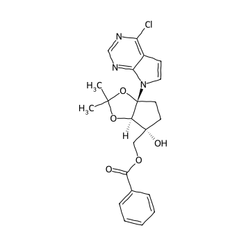 CC1(C)O[C@@H]2[C@](O)(COC(=O)c3ccccc3)CC[C@@]2(n2ccc3c(Cl)ncnc32)O1